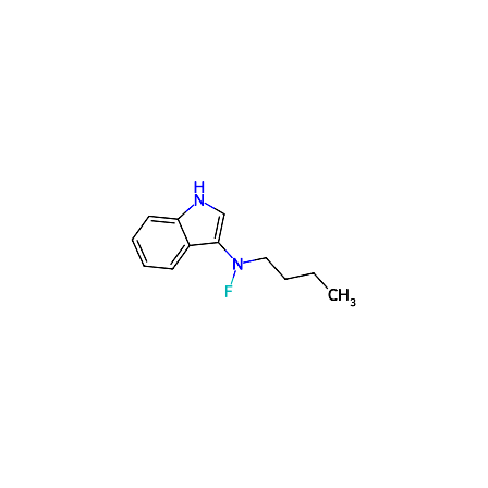 CCCCN(F)c1c[nH]c2ccccc12